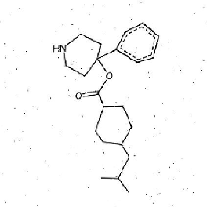 CC(C)CC1CCC(C(=O)OC2(c3ccccc3)CCNCC2)CC1